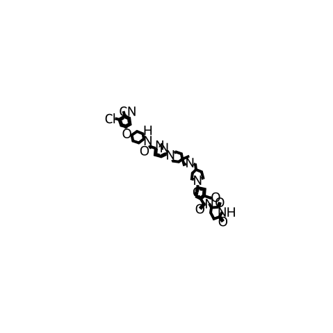 N#Cc1ccc(O[C@H]2CC[C@H](NC(=O)c3ccc(N4CCC5(CC4)CN(CC4CCN(c6ccc7c(c6)C(=O)N(C6CCC(=O)NC6=O)C7=O)CC4)C5)nn3)CC2)cc1Cl